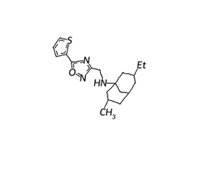 CCC1CC2CC(C)CC(NCc3noc(-c4cccs4)n3)(C1)C2